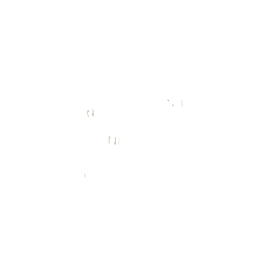 CSC(CN)c1ncc(Br)[nH]1